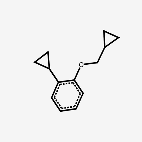 c1ccc(C2CC2)c(OCC2CC2)c1